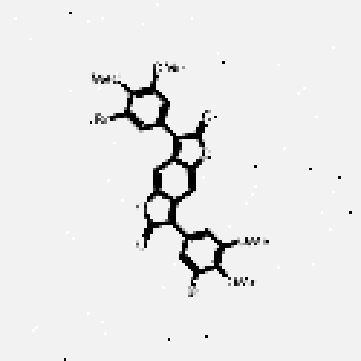 COc1cc(C2=c3cc4c(cc3OC2=O)=C(c2cc(Br)c(OC)c(OC)c2)C(=O)O4)cc(Br)c1OC